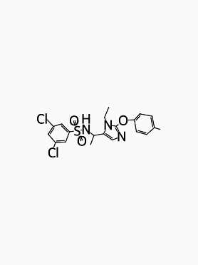 CCn1c(C(C)NS(=O)(=O)c2cc(Cl)cc(Cl)c2)cnc1Oc1ccc(C)cc1